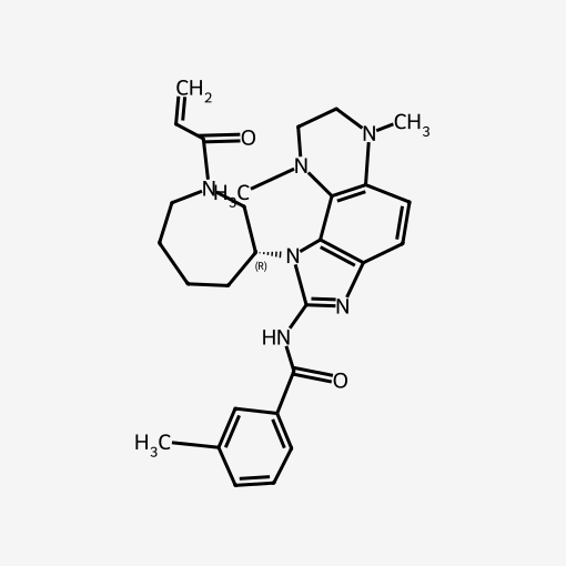 C=CC(=O)N1CCCC[C@@H](n2c(NC(=O)c3cccc(C)c3)nc3ccc4c(c32)N(C)CCN4C)C1